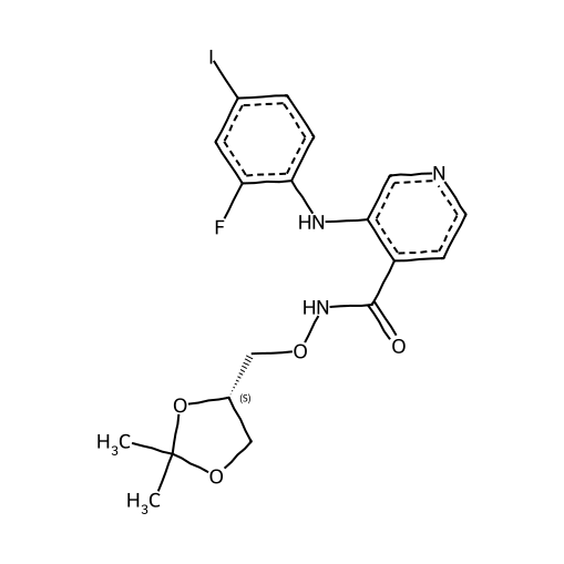 CC1(C)OC[C@@H](CONC(=O)c2ccncc2Nc2ccc(I)cc2F)O1